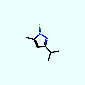 Cc1cc(C(C)C)nn1Cl